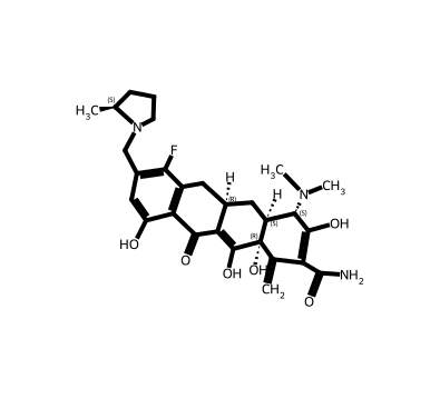 C=C1C(C(N)=O)=C(O)[C@@H](N(C)C)[C@@H]2C[C@@H]3Cc4c(F)c(CN5CCC[C@@H]5C)cc(O)c4C(=O)C3=C(O)[C@]12O